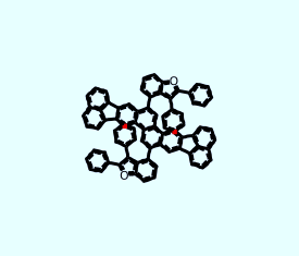 c1ccc(-c2oc3cccc(-c4cc5c6cc7c(cc6c(-c6cccc8oc(-c9ccccc9)c(-c9ccccc9)c68)cc5c5cc6c(cc45)-c4cccc5cccc-6c45)-c4cccc5cccc-7c45)c3c2-c2ccccc2)cc1